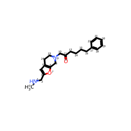 CNCc1cc2c(o1)CN(CC(=O)CCCCc1ccccc1)CC2